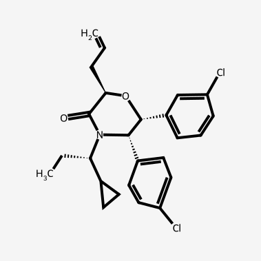 C=CC[C@H]1O[C@H](c2cccc(Cl)c2)[C@H](c2ccc(Cl)cc2)N([C@@H](CC)C2CC2)C1=O